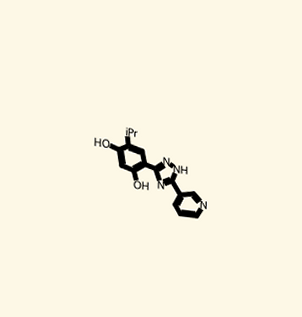 CC(C)c1cc(-c2n[nH]c(-c3cccnc3)n2)c(O)cc1O